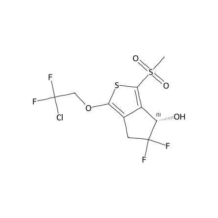 CS(=O)(=O)c1sc(OCC(F)(F)Cl)c2c1[C@H](O)C(F)(F)C2